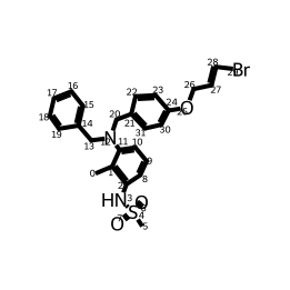 Cc1c(NS(C)(=O)=O)cccc1N(Cc1ccccc1)Cc1ccc(OC/C=C/Br)cc1